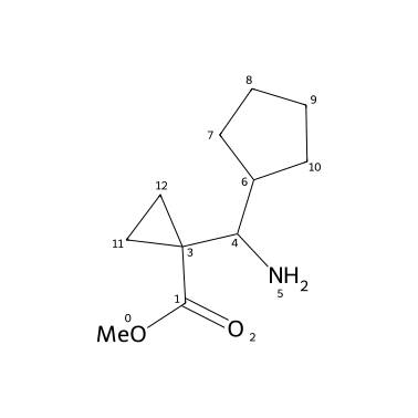 COC(=O)C1(C(N)C2CCCC2)CC1